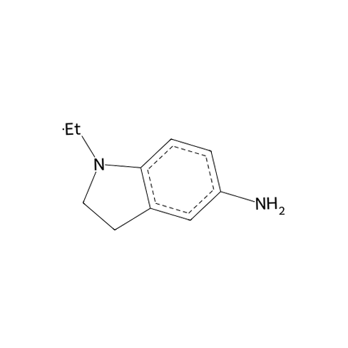 C[CH]N1CCc2cc(N)ccc21